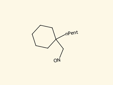 CCCCCC1(CN=O)CCCCC1